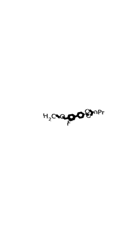 C=CCOCc1ccc(C2CCC([C@H]3OC[C@H](CCC)CO3)CC2)cc1F